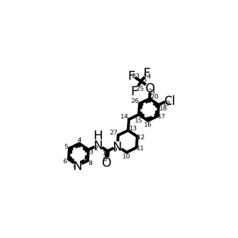 O=C(Nc1cccnc1)N1CCCC(Cc2ccc(Cl)c(OC(F)(F)F)c2)C1